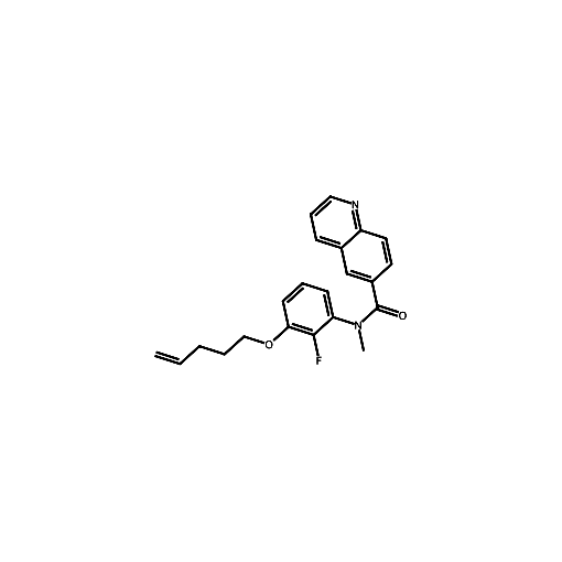 C=CCCCOc1cccc(N(C)C(=O)c2ccc3ncccc3c2)c1F